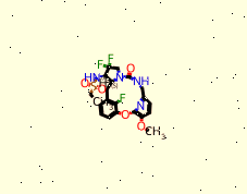 CCS(=O)(=O)N[C@@H]1[C@@H]2Cc3cccc(c3F)Oc3nc(ccc3OC)CNC(=O)N2CC1(F)F